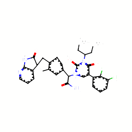 COCC(COC)n1c(=O)c(-c2cccc(Cl)c2Cl)cn(C(C(N)=O)c2ccc3c(c2)C[C@@]2(C3)C(=O)Nc3ncccc32)c1=O